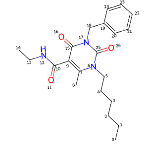 CCCCCCn1c(C)c(C(=O)NCC)c(=O)n(Cc2ccccc2)c1=O